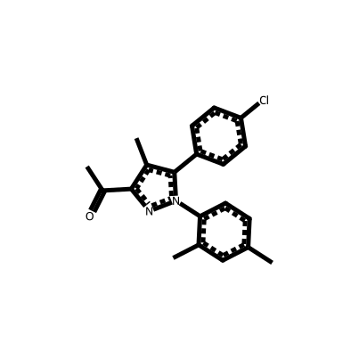 CC(=O)c1nn(-c2ccc(C)cc2C)c(-c2ccc(Cl)cc2)c1C